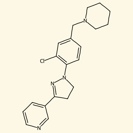 Clc1cc(CN2CCCCC2)ccc1N1CCC(c2cccnc2)=N1